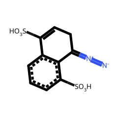 [N-]=[N+]=C1CC=C(S(=O)(=O)O)c2cccc(S(=O)(=O)O)c21